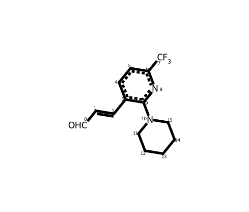 O=CC=Cc1ccc(C(F)(F)F)nc1N1CCCCC1